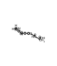 C[C@@H](CCCCNC(=O)CCCOc1ccc(-c2ccc(-c3noc(-c4ccc(C5=NNNN5)cc4)n3)cc2)cc1)C(=O)O